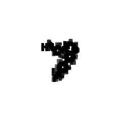 CNC1CCN(C2=NCCOc3ccc(-c4ccc(C(F)(F)F)cc4)cc32)C1